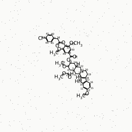 COC(=O)[C@H]1[C@H]2C[C@@H]3c4[nH]c5cc(OC)ccc5c4CCN3C[C@H]2C[C@@H](OC(=O)c2cc(OC)c(OC(=O)Cc3ccc(Cl)cc3)c(OC)c2)[C@@H]1OC